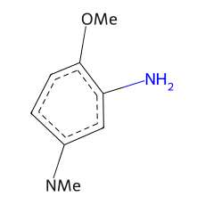 CNc1ccc(OC)c(N)c1